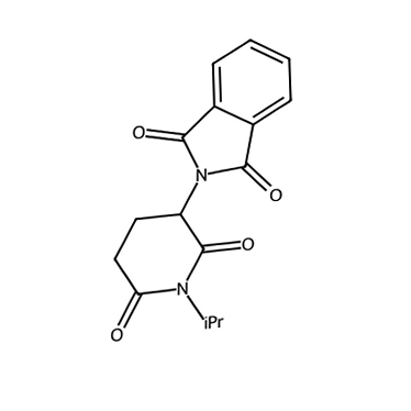 CC(C)N1C(=O)CCC(N2C(=O)c3ccccc3C2=O)C1=O